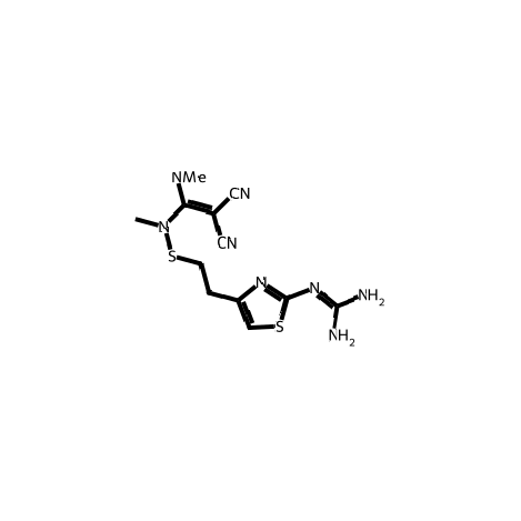 CNC(=C(C#N)C#N)N(C)SCCc1csc(N=C(N)N)n1